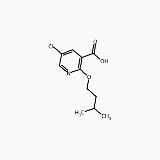 CC(C)CCOc1ncc(Cl)cc1C(=O)O